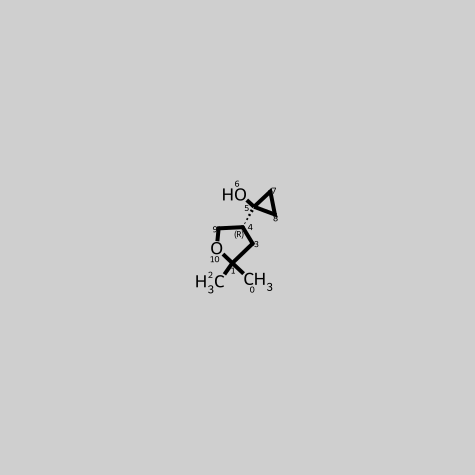 CC1(C)C[C@@H](C2(O)CC2)CO1